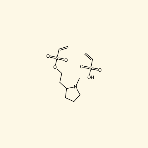 C=CS(=O)(=O)O.C=CS(=O)(=O)OCCC1CCCN1C